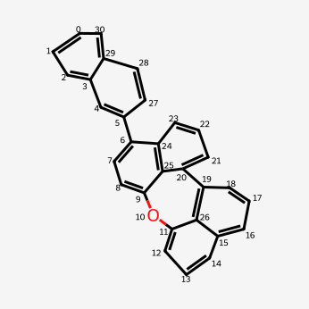 c1ccc2cc(-c3ccc4oc5cccc6cccc(c7cccc3c47)c65)ccc2c1